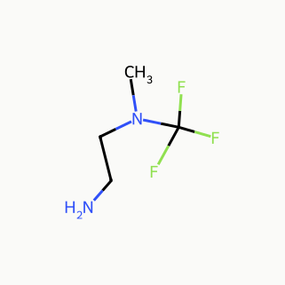 CN(CCN)C(F)(F)F